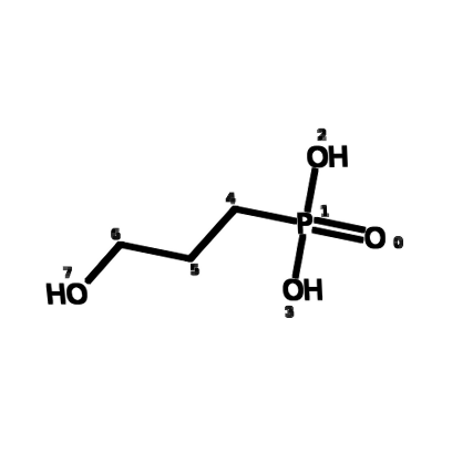 O=P(O)(O)CCCO